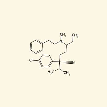 CCC(CCC(C#N)(c1ccc(Cl)cc1)C(C)C)N(C)CCc1ccccc1